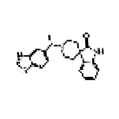 CC(c1ccc2scnc2c1)N1CCC2(CC1)C(=O)Nc1ccccc12